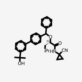 CC(C)C[C@H](OC(c1ccccc1)c1ccc(-c2cccc(C(C)(C)O)c2)cc1)C(=O)NC1(C#N)CC1